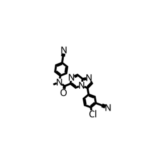 CN(C(=O)c1cn2c(-c3ccc(Cl)c(C#N)c3)cnc2cn1)c1ccc(C#N)cc1